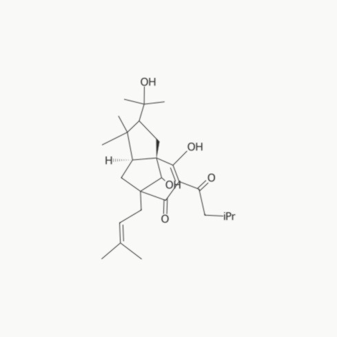 CC(C)=CCC12C[C@H]3C(C)(C)C(C(C)(C)O)C[C@@]3(C(O)=C(C(=O)CC(C)C)C1=O)C2O